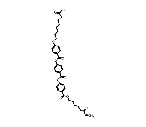 C=CC(=O)OCCCCOC(=O)c1ccc(OC(=O)c2ccc(OC(=O)c3ccc(OCCCCCCOC(=O)C(C)CC)cc3)cc2)cc1